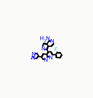 Cn1cc(-c2cnc3nc(-c4ccccc4F)cc(-c4nccc5c(N)nccc45)c3c2)cn1